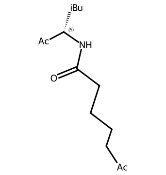 CCC(C)[C@H](NC(=O)CCCCC(C)=O)C(C)=O